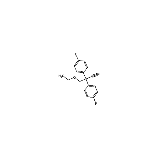 CCOCC(C#N)(c1ccc(F)cc1)c1ccc(F)cc1